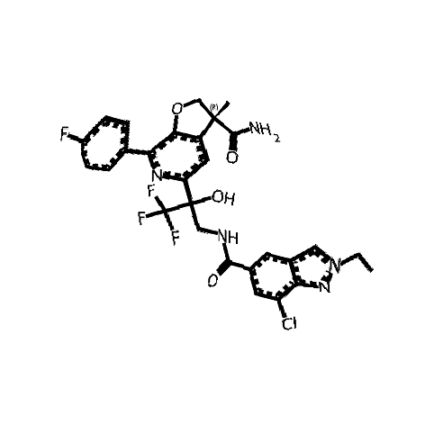 CCn1cc2cc(C(=O)NCC(O)(c3cc4c(c(-c5ccc(F)cc5)n3)OC[C@]4(C)C(N)=O)C(F)(F)F)cc(Cl)c2n1